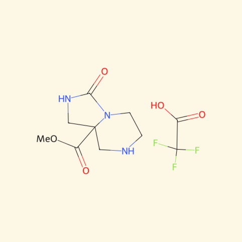 COC(=O)C12CNCCN1C(=O)NC2.O=C(O)C(F)(F)F